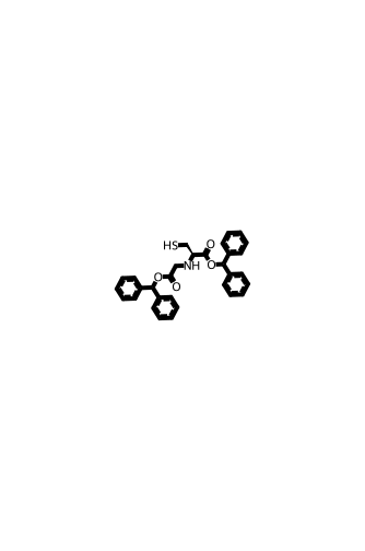 O=C(CN[C@@H](CS)C(=O)OC(c1ccccc1)c1ccccc1)OC(c1ccccc1)c1ccccc1